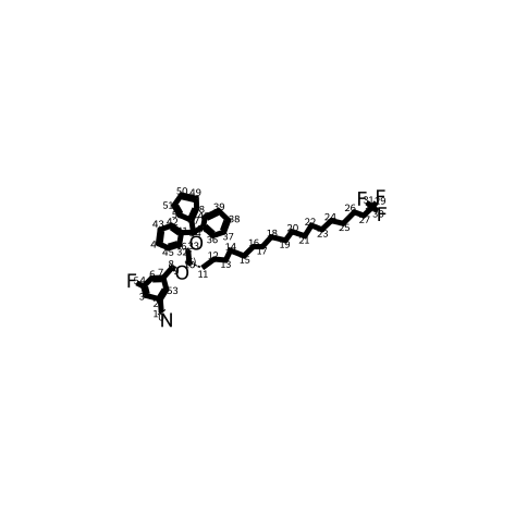 N#Cc1cc(F)cc(CO[C@@H](CCCCCCCCCCCCCCCCCC(F)(F)F)COC(c2ccccc2)(c2ccccc2)c2ccccc2)c1